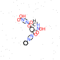 CC[C@@]1(OC(=O)N2CCN(C(=O)O)CC2)CC[C@H](C(=O)N2CCN(c3ccccc3)CC2)[C@@H](C(=O)NO)C1